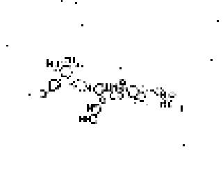 Cc1cc(S(=O)(=O)NC(=O)c2ccc(N3CCN(CC4=C(c5ccc(Cl)cc5)CC(C)(C)CC4)CC3)cc2Oc2cnc3[nH]ccc3c2)ccc1NCC1CCN(S(C)(=O)=O)C1